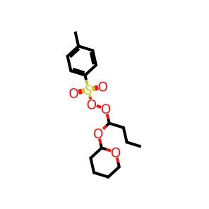 CCCC(OOS(=O)(=O)c1ccc(C)cc1)OC1CCCCO1